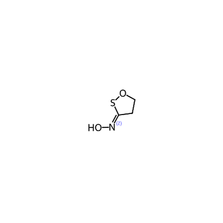 O/N=C1/CCOS1